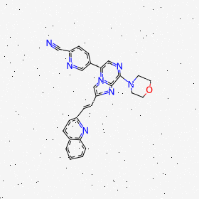 N#Cc1ccc(-c2cnc(N3CCOCC3)c3nc(C=Cc4ccc5ccccc5n4)cn23)cn1